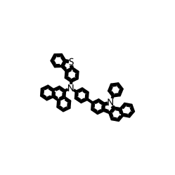 c1ccc(-n2c3cc(-c4ccc(N(c5ccc6sc7ccccc7c6c5)c5cc6ccccc6c6ccccc56)cc4)ccc3c3ccc4ccccc4c32)cc1